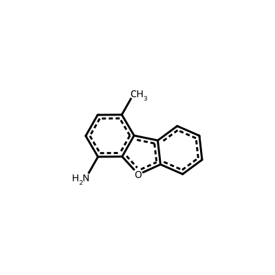 Cc1ccc(N)c2oc3ccccc3c12